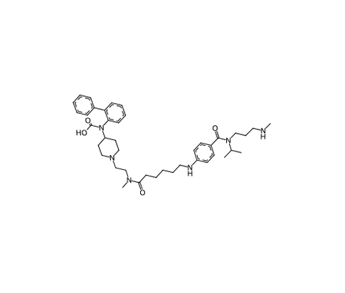 CNCCCN(C(=O)c1ccc(NCCCCCC(=O)N(C)CCN2CCC(N(C(=O)O)c3ccccc3-c3ccccc3)CC2)cc1)C(C)C